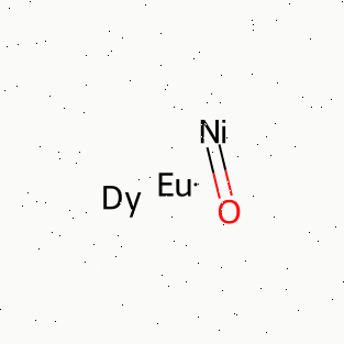 [Dy].[Eu].[O]=[Ni]